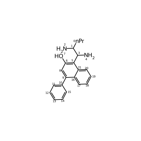 CCCC(N)C(N)c1c(O)cc(-c2ccccc2)c2ccccc12